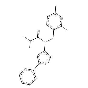 CC(C)C(=O)N(Cc1ccc(F)cc1F)c1csc(-c2ccccc2)c1